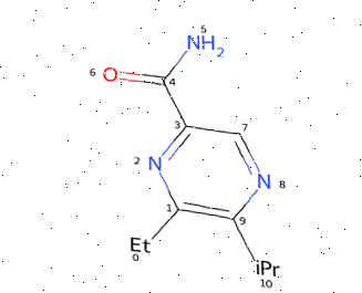 CCc1nc(C(N)=O)cnc1C(C)C